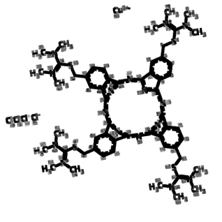 CN(C)C(SCc1ccc2c(c1)-c1nc-2nc2[n-]c(nc3nc(nc4[n-]c(n1)c1ccc(CSC(N(C)C)=[N+](C)C)cc41)-c1cc(CSC(N(C)C)=[N+](C)C)ccc1-3)c1cc(CSC(N(C)C)=[N+](C)C)ccc21)=[N+](C)C.[Cl-].[Cl-].[Cl-].[Cl-].[Cu+2]